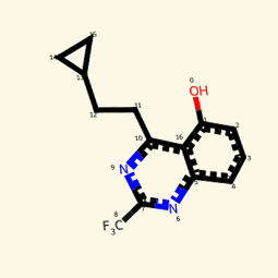 Oc1cccc2nc(C(F)(F)F)nc(CCC3CC3)c12